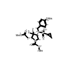 COC(=O)C[C@H]1N(C(=O)OC(C)(C)C)C[C@@H](N(Cc2ccc(OC)cc2)S(=O)(=O)C2CC2)C1(F)F